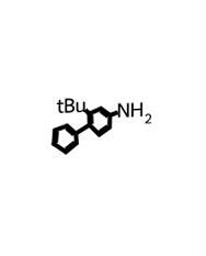 CC(C)(C)c1cc(N)ccc1-c1ccccc1